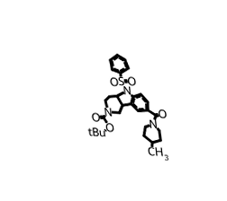 CC1CCN(C(=O)c2ccc3c(c2)C2CN(C(=O)OC(C)(C)C)CCC2N3S(=O)(=O)c2ccccc2)CC1